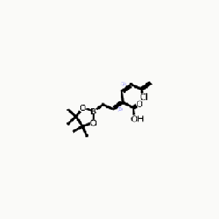 C=C(Cl)/C=C\C(=C/CB1OC(C)(C)C(C)(C)O1)C(=O)O